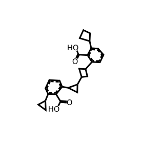 O=C(O)c1c(C2CCC2)cccc1C1CC(C2CC2c2cccc(C3CC3)c2C(=O)O)C1